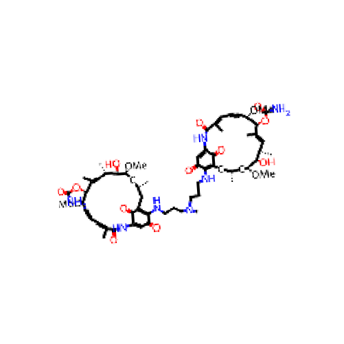 CO[C@H]1/C=C\C=C(/C)C(=O)NC2=CC(=O)C(NCCCN(C)CCCNC3=C4C[C@@H](C)C[C@H](OC)[C@H](O)[C@@H](C)/C=C(\C)[C@H](OC(N)=O)[C@@H](OC)/C=C\C=C(/C)C(=O)NC(=CC3=O)C4=O)=C(C[C@@H](C)C[C@H](OC)[C@H](O)[C@@H](C)/C=C(\C)[C@@H]1OC(N)=O)C2=O